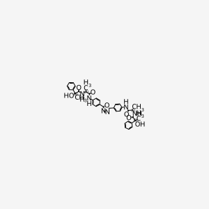 C[C@H](NC(=O)[C@](C)(O)c1ccccc1)C(=O)Nc1ccc(-c2nnc(-c3ccc(NC(=O)[C@H](C)NC(=O)[C@](C)(O)c4ccccc4)cc3)o2)cc1